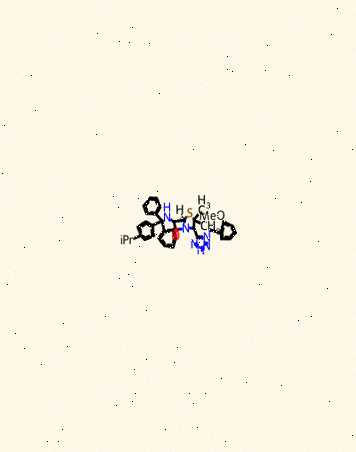 COc1ccccc1Cn1nnnc1C1N2C(=O)C(NC(c3ccccc3)(c3ccccc3)c3ccc(C(C)C)cc3)[C@H]2SC1(C)C